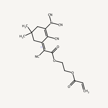 C=CC(=O)OCCOC(=O)/C(C#N)=C1/CC(C)(C)CC(N(C#N)C#N)=C1C#N